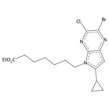 CCOC(=O)CCCCCCn1c(C2CC2)cc2nc(Br)c(Cl)nc21